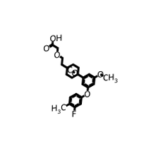 COc1cc(Oc2ccc(C)c(F)c2)cc(C23CCC(CCOCC(=O)O)(CC2)CO3)c1